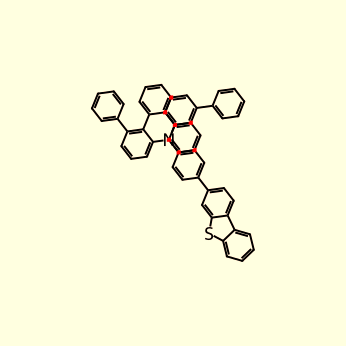 c1ccc(-c2cccc(N(c3ccc(-c4ccc5c(c4)sc4ccccc45)cc3)c3cccc(-c4ccccc4)c3-c3ccccc3-c3ccccc3)c2)cc1